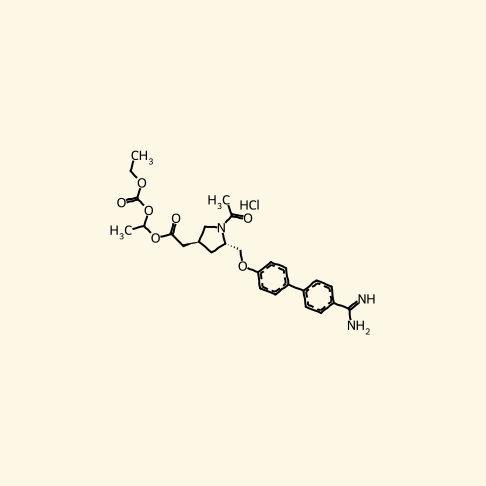 CCOC(=O)OC(C)OC(=O)C[C@@H]1C[C@@H](COc2ccc(-c3ccc(C(=N)N)cc3)cc2)N(C(C)=O)C1.Cl